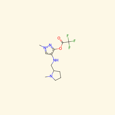 CN1CCCC1CNc1cn(C)nc1OC(=O)C(F)(F)F